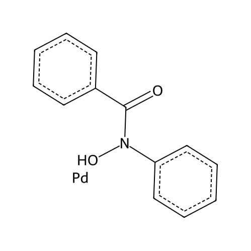 O=C(c1ccccc1)N(O)c1ccccc1.[Pd]